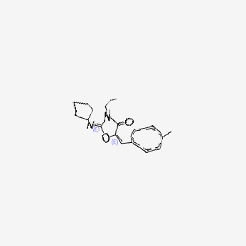 CCN1C(=O)/C(=C\c2ccc(C)cc2)O/C1=N/C1CCCC1